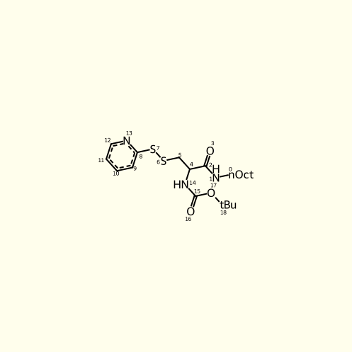 CCCCCCCCNC(=O)C(CSSc1ccccn1)NC(=O)OC(C)(C)C